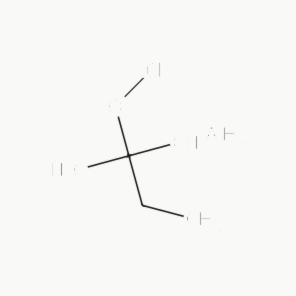 CCC(C)(C)OCl.[AlH3]